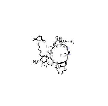 COc1cc2cc(c1Cl)N(C)C(=O)C[C@H](OC(=O)[C@@H](C)N(C)C(=O)CCCCCN1C(=O)C=CC1=O)[C@]1(C)OC1[C@H](C)[C@@H]1C[C@@](O)(NC(=O)O1)[C@H](OC)/C=C/C=C(\C)C2